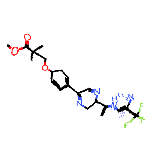 C=C(N/C=C(\N)C(F)(F)F)C1CN=C(C2=CCC(OCC(C)(C)C(=O)OC)C=C2)C=N1